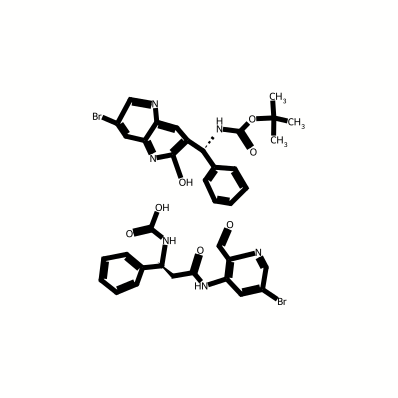 CC(C)(C)OC(=O)N[C@H](c1ccccc1)c1cc2ncc(Br)cc2nc1O.O=Cc1ncc(Br)cc1NC(=O)C[C@H](NC(=O)O)c1ccccc1